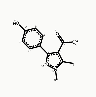 Cc1c(C(=O)O)c(-c2ccc(O)cc2)nn1C